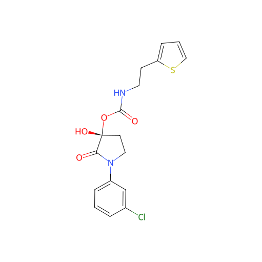 O=C(NCCc1cccs1)O[C@]1(O)CCN(c2cccc(Cl)c2)C1=O